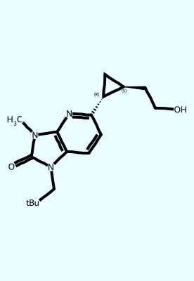 Cn1c(=O)n(CC(C)(C)C)c2ccc([C@@H]3C[C@H]3CCO)nc21